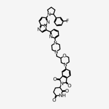 O=C1CCC(N2C(=O)c3ccc(N4CCOC(CN5CCN(c6cccc(-c7cnc8ccc(N9CCCC9c9cccc(F)c9)nn78)n6)CC5)C4)cc3C2=O)C(=O)N1